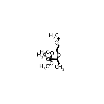 C=COCCOC(CC)[Si](OC)(OC)OC